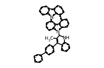 CC1=C(c2ccc(-c3ccccc3)cc2)c2ccccc2NC1n1c2cccc3c4cccc5c6ccccc6n(c6cccc1c6c32)c45